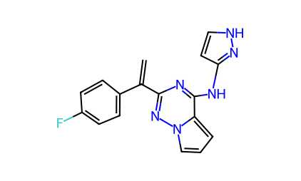 C=C(c1ccc(F)cc1)c1nc(Nc2cc[nH]n2)c2cccn2n1